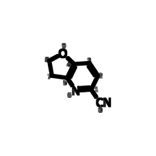 N#Cc1ccc2c(n1)CCO2